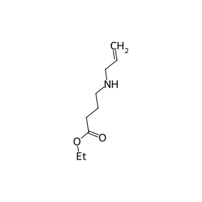 C=CCNCCCC(=O)OCC